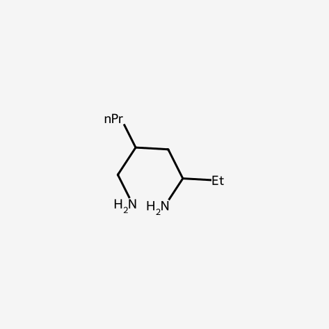 CCCC(CN)CC(N)CC